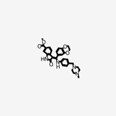 COC(=O)c1ccc2c(c1)NC(=O)/C2=C(\Nc1ccc(CN2CCN(C)CC2)cc1)c1ccc2c(c1)OCCO2